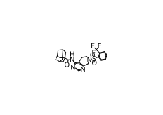 O=C(Nc1ncnc2c1CCN(S(=O)(=O)c1ccccc1C(F)(F)F)C2)C12CC3CC(CC(C3)C1)C2